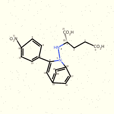 O=C(O)CC[C@H](NN1C(c2ccc([N+](=O)[O-])cc2)=Cc2ccc1cc2)C(=O)O